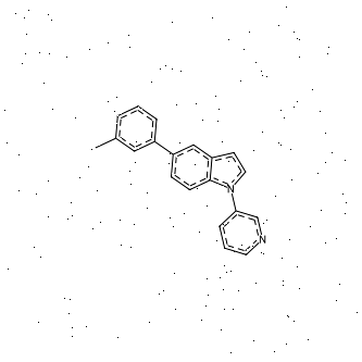 Cc1cccc(-c2ccc3c(ccn3-c3cccnc3)c2)c1